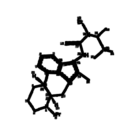 CCCN1CCC[C@@H]2c3cccc4c3c(c(C)n4NC(=S)N(CC)C(C)N(C)C)C[C@H]21